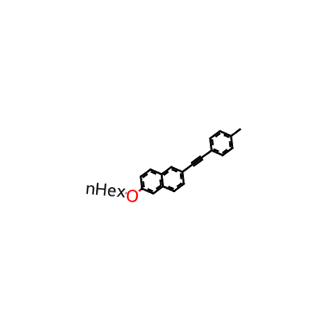 CCCCCCOc1ccc2cc(C#Cc3ccc(C)cc3)ccc2c1